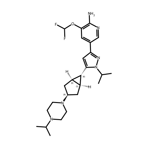 CC(C)N1CCN([C@H]2C[C@@H]3[C@H](C2)[C@H]3c2cc(-c3cnc(N)c(OC(F)F)c3)nn2C(C)C)CC1